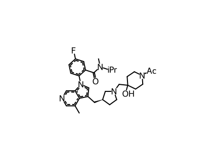 CC(=O)N1CCC(O)(CN2CC[C@@H](Cc3cn(-c4ccc(F)cc4C(=O)N(C)C(C)C)c4cncc(C)c34)C2)CC1